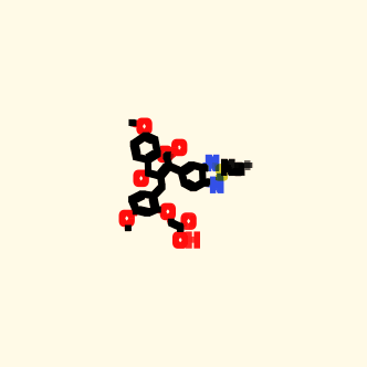 COc1ccc(C(=O)C(Cc2ccc(OC)cc2OCC(=O)O)=C(C(=O)[O-])c2ccc3nsnc3c2)cc1.[Na+]